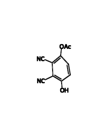 CC(=O)Oc1ccc(O)c(C#N)c1C#N